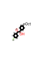 CCCCCCCCc1ccc(C(O)C(=O)c2ccc(F)cc2)cc1